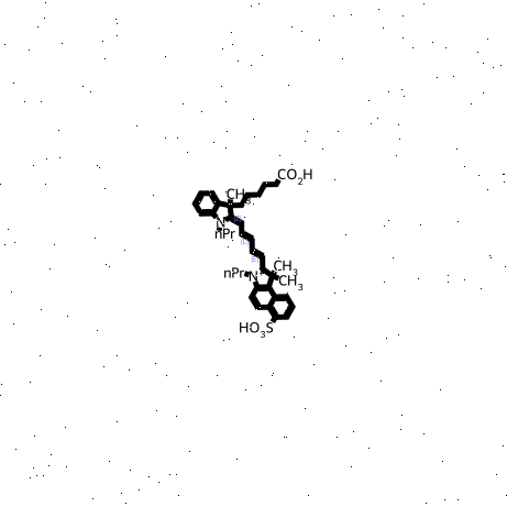 CCCN1\C(=C/C=C/C=C/C2=[N+](CCC)c3ccc4c(S(=O)(=O)O)cccc4c3C2(C)C)C(C)(CCCCCC(=O)O)c2ccccc21